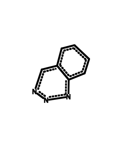 c1ccc2nnncc2c1